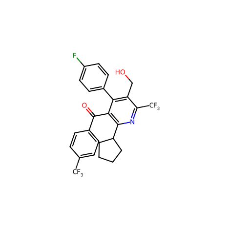 O=C(c1ccc(C(F)(F)F)cc1)c1c(C2CCCC2)nc(C(F)(F)F)c(CO)c1-c1ccc(F)cc1